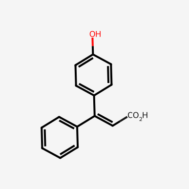 O=C(O)C=C(c1ccccc1)c1ccc(O)cc1